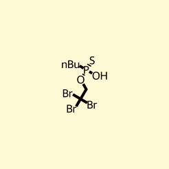 CCCCP(O)(=S)OCC(Br)(Br)Br